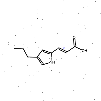 CCCc1c[nH]c(/C=C/C(=O)O)c1